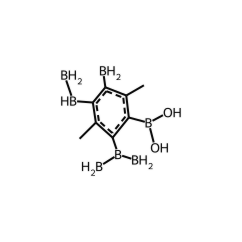 BBc1c(B)c(C)c(B(O)O)c(B(B)B)c1C